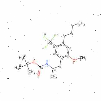 CCCCc1cc(OC)c(CC(C)NC(=O)OC(C)(C)C)cc1C(F)(F)F